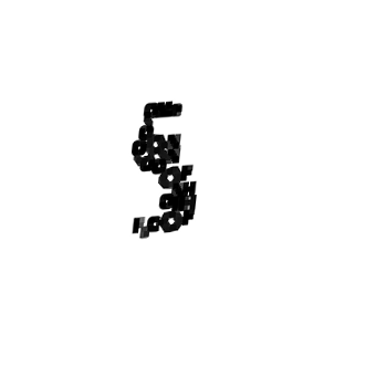 COCCOc1cc2ncnc(Oc3ccc(NC(=O)Nc4cc(C(F)(F)F)ccc4F)c(F)c3)c2c2c1OCCO2